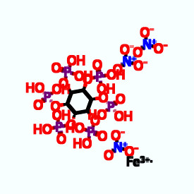 O=P(O)(O)O[C@H]1[C@H](OP(=O)(O)O)[C@@H](OP(=O)(O)O)[C@H](OP(=O)(O)O)[C@@H](OP(=O)(O)O)[C@H]1OP(=O)(O)O.O=[N+]([O-])[O-].O=[N+]([O-])[O-].O=[N+]([O-])[O-].[Fe+3]